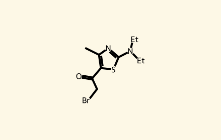 CCN(CC)c1nc(C)c(C(=O)CBr)s1